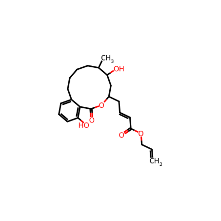 C=CCOC(=O)/C=C/CC1CC(O)C(C)CCCCc2cccc(O)c2C(=O)O1